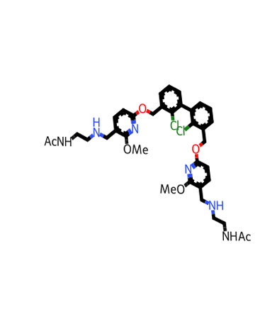 COc1nc(OCc2cccc(-c3cccc(COc4ccc(CNCCNC(C)=O)c(OC)n4)c3Cl)c2Cl)ccc1CNCCNC(C)=O